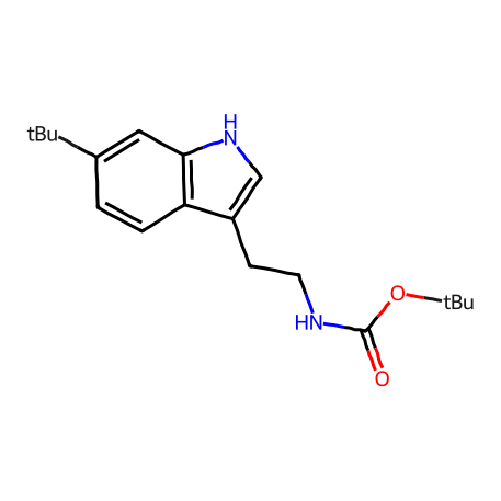 CC(C)(C)OC(=O)NCCc1c[nH]c2cc(C(C)(C)C)ccc12